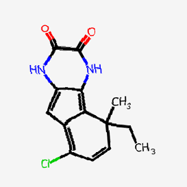 CCC1(C)C=CC(Cl)=C2C=c3[nH]c(=O)c(=O)[nH]c3=C21